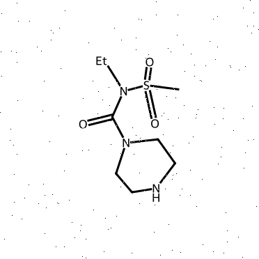 [CH2]CN(C(=O)N1CCNCC1)S(C)(=O)=O